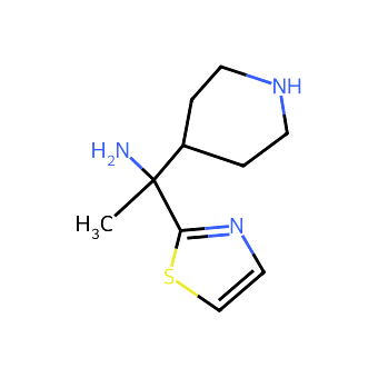 CC(N)(c1nccs1)C1CCNCC1